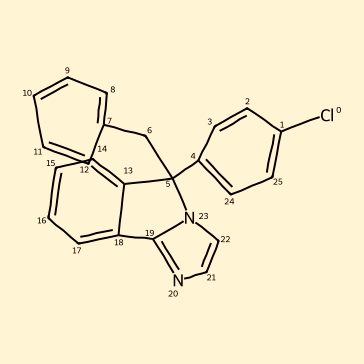 Clc1ccc(C2(Cc3ccccc3)c3ccccc3-c3nccn32)cc1